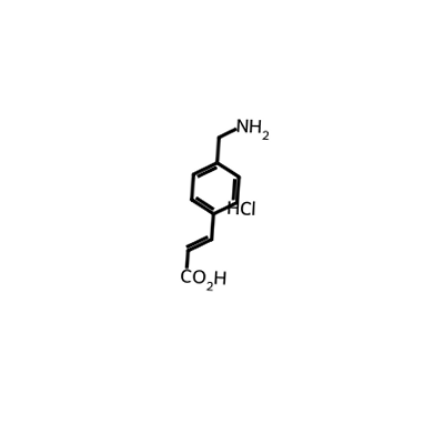 Cl.NCc1ccc(/C=C/C(=O)O)cc1